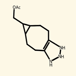 CC(=O)OCC1C2CCC3=C(CCC21)NNN3